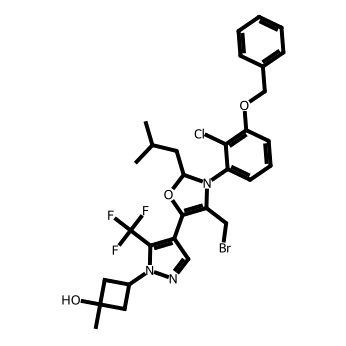 CC(C)CC1OC(c2cnn(C3CC(C)(O)C3)c2C(F)(F)F)=C(CBr)N1c1cccc(OCc2ccccc2)c1Cl